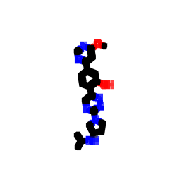 COc1cc(-c2ccc(-c3cnc(N4CC[C@H](NC(C)C)C4)nn3)c(O)c2)ncn1